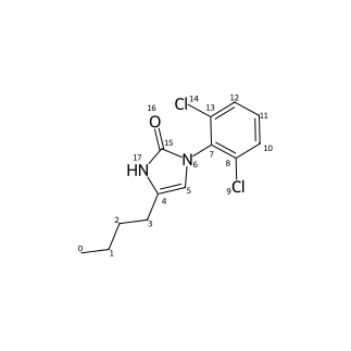 CCCCc1cn(-c2c(Cl)cccc2Cl)c(=O)[nH]1